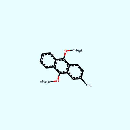 CCCCCCCOc1c2ccccc2c(OCCCCCCC)c2cc(C(C)(C)C)ccc12